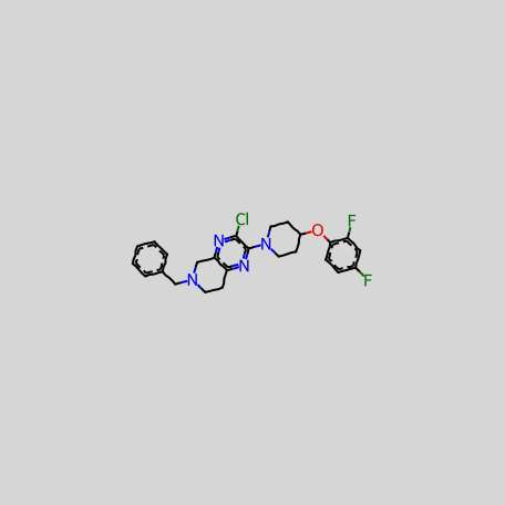 Fc1ccc(OC2CCN(c3nc4c(nc3Cl)CN(Cc3ccccc3)CC4)CC2)c(F)c1